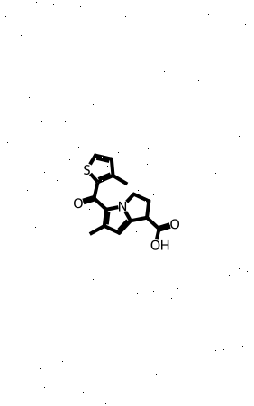 Cc1ccsc1C(=O)c1c(C)cc2n1CCC2C(=O)O